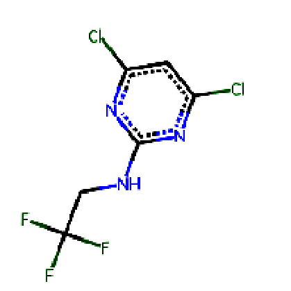 FC(F)(F)CNc1nc(Cl)cc(Cl)n1